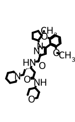 COc1cccc(OC)c1-c1cc(C(=O)N[C@@H](CCN2CCCCC2)CC(=O)NC2CCOCC2)nn1C1CCCC1